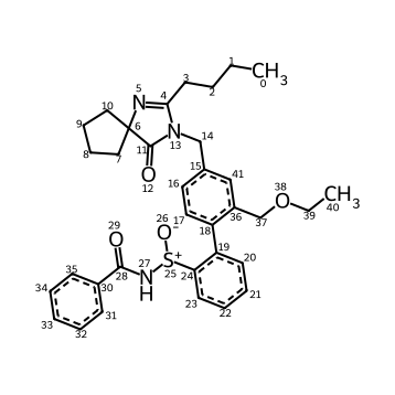 CCCCC1=NC2(CCCC2)C(=O)N1Cc1ccc(-c2ccccc2[S+]([O-])NC(=O)c2ccccc2)c(COCC)c1